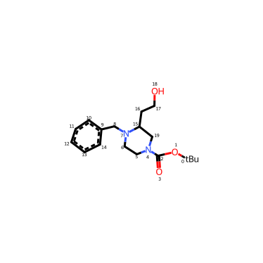 CC(C)(C)OC(=O)N1CCN(Cc2ccccc2)C(CCO)C1